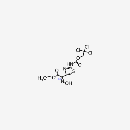 CCOC(=O)/C(=N/O)c1csc(NC(=O)OCC(Cl)(Cl)Cl)n1